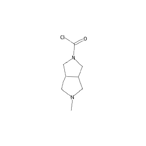 CN1CC2CN(C(=O)Cl)CC2C1